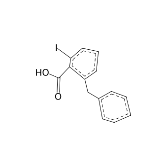 O=C(O)c1c(I)cccc1Cc1ccccc1